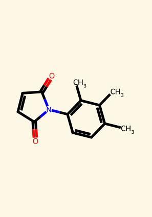 Cc1ccc(N2C(=O)C=CC2=O)c(C)c1C